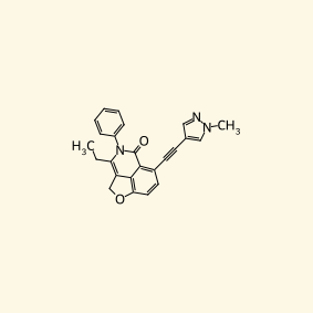 CCc1c2c3c(ccc(C#Cc4cnn(C)c4)c3c(=O)n1-c1ccccc1)OC2